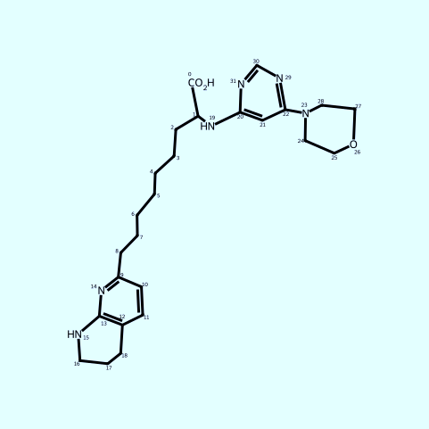 O=C(O)C(CCCCCCCc1ccc2c(n1)NCCC2)Nc1cc(N2CCOCC2)ncn1